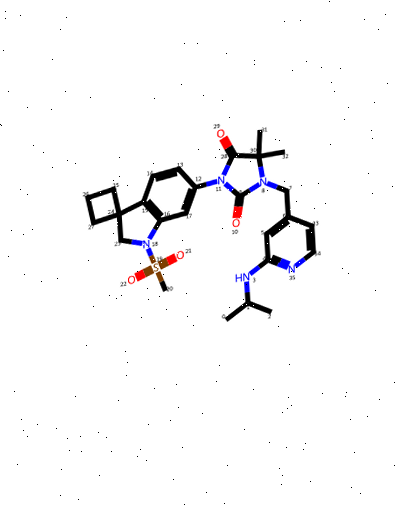 CC(C)Nc1cc(CN2C(=O)N(c3ccc4c(c3)N(S(C)(=O)=O)CC43CCC3)C(=O)C2(C)C)ccn1